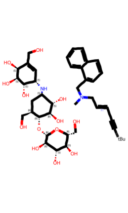 CN(C/C=C/C#CC(C)(C)C)Cc1cccc2ccccc12.OCC1=C[C@H](N[C@H]2C[C@H](CO)[C@@H](O[C@@H]3O[C@H](CO)[C@@H](O)[C@H](O)[C@H]3O)[C@H](O)[C@H]2O)[C@H](O)[C@@H](O)[C@H]1O